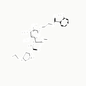 CCC[C@H]1CN[C@H](C(=O)N[C@@H]([C@H]2O[C@H](SCCOC(=O)c3ccccc3O)[C@H](O)[C@@H](O)[C@H]2O)[C@@H](C)OC)C1